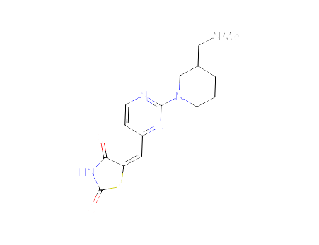 CNCC1CCCN(c2nccc(C=C3SC(=O)NC3=O)n2)C1